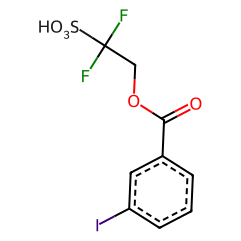 O=C(OCC(F)(F)S(=O)(=O)O)c1cccc(I)c1